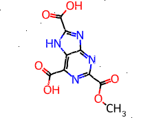 COC(=O)c1nc(C(=O)O)c2[nH]c(C(=O)O)nc2n1